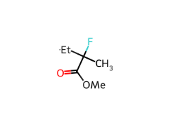 C[CH]C(C)(F)C(=O)OC